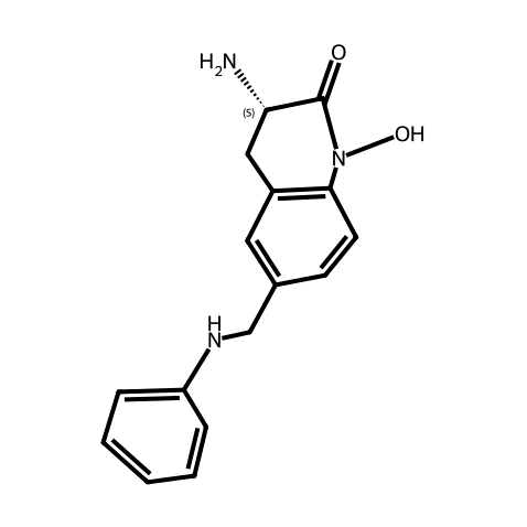 N[C@H]1Cc2cc(CNc3ccccc3)ccc2N(O)C1=O